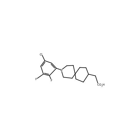 O=C(O)CC1CCC2(CC1)CCN(c1cc(Cl)cc(F)c1F)CC2